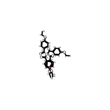 CCOc1ccc([C](=O)[Ge]([C](=O)c2ccc(OCC)cc2)([C](=O)c2ccc(OCC)cc2)[C](=O)c2ccc(OCC)cc2)cc1